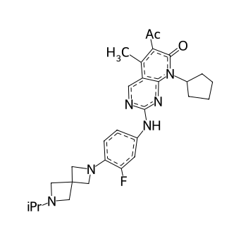 CC(=O)c1c(C)c2cnc(Nc3ccc(N4CC5(C4)CN(C(C)C)C5)c(F)c3)nc2n(C2CCCC2)c1=O